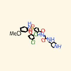 COc1ccc(NS(=O)(=O)c2ccc(C(=O)NCC(=O)NCC3CCNCC3)cc2)c(Oc2ccc(Cl)cc2Cl)c1